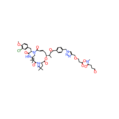 COc1ccc(C[C@@H]2C(=O)N[C@H]3CN2C(=O)/C=C/C[C@@H](C(C)C2OC2c2ccc(Cn4cc(COCCC(=O)ON(C)C(=O)CCC=O)nn4)cc2)OC(=O)C(CC(C)(C)C)NC(=O)C3(C)C)cc1Cl